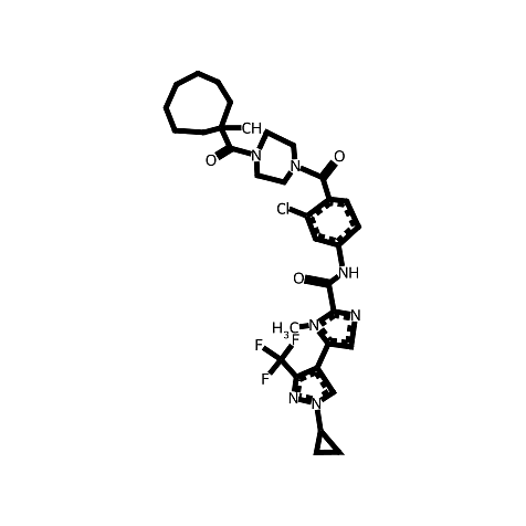 Cn1c(-c2cn(C3CC3)nc2C(F)(F)F)cnc1C(=O)Nc1ccc(C(=O)N2CCN(C(=O)C3(C)CCCCCCC3)CC2)c(Cl)c1